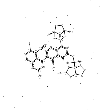 [2H]C([2H])(Oc1nc(N2C[C@H]3CC[C@@H](C2)N3)c2cnn(-c3cc(O)cc4ccc(F)c(C#C)c34)c(=O)c2n1)[C@@]12CCCN1C[C@H](F)C2